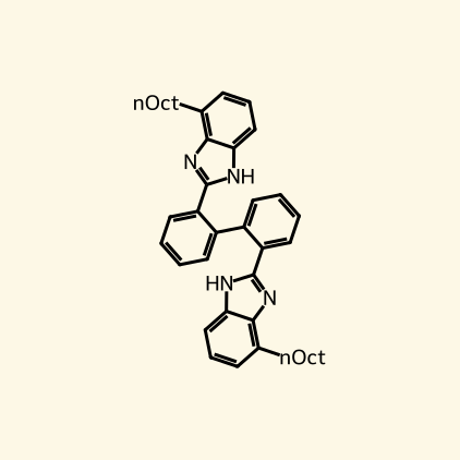 CCCCCCCCc1cccc2[nH]c(-c3ccccc3-c3ccccc3-c3nc4c(CCCCCCCC)cccc4[nH]3)nc12